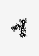 CCc1cccc(CNC[C@H](O)[C@H](Cc2cc(F)cc(F)c2)NC(=O)c2csc(NS(C)(=O)=O)n2)c1